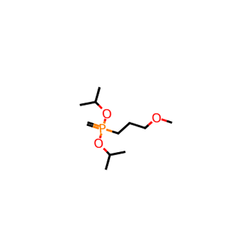 C=P(CCCOC)(OC(C)C)OC(C)C